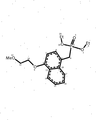 CCOP(=O)(Cc1ccc(OCCOC)c2ccccc12)OCC